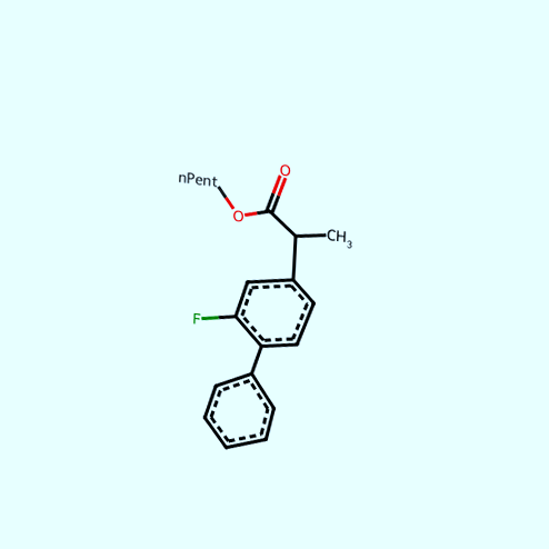 CCCCCOC(=O)C(C)c1ccc(-c2ccccc2)c(F)c1